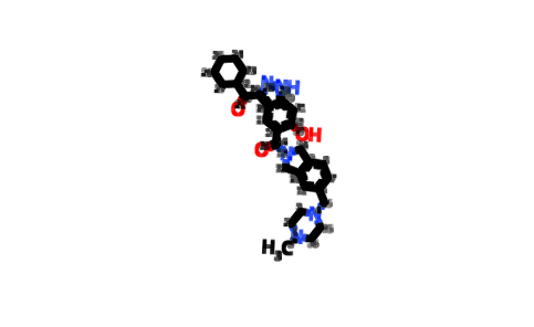 CN1CCN(Cc2ccc3c(c2)CN(C(=O)c2cc4c(C(=O)C5CCCCC5)n[nH]c4cc2O)C3)CC1